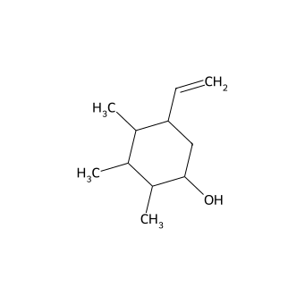 C=CC1CC(O)C(C)C(C)C1C